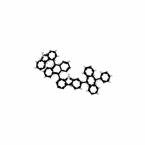 C1=CC2C(c3cccc4c3oc3cc(-c5c6ccccc6c(-c6ccccc6)c6ccccc56)ccc34)=c3ccccc3=C(c3cccc4sc5ccccc5c34)C2C=C1